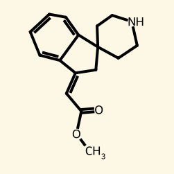 COC(=O)C=C1CC2(CCNCC2)c2ccccc21